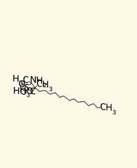 CCCCCCCCCCCCCCC(C)(C)C(C)(N)S(=O)(=O)O